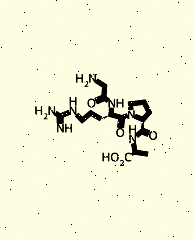 C[C@H](NC(=O)[C@@H]1CCCN1C(=O)[C@H](CCCNC(=N)N)NC(=O)CN)C(=O)O